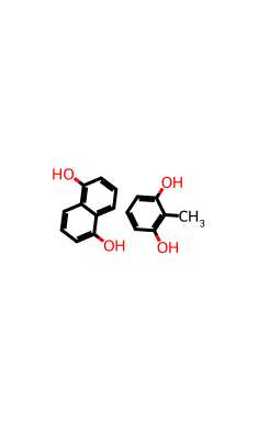 Cc1c(O)cccc1O.Oc1cccc2c(O)cccc12